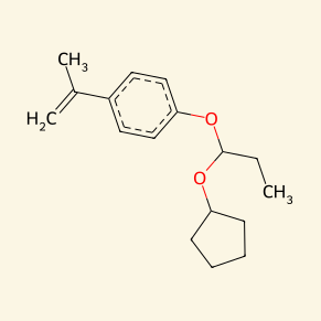 C=C(C)c1ccc(OC(CC)OC2CCCC2)cc1